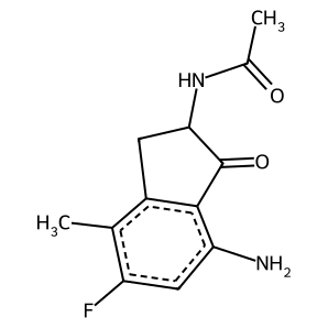 CC(=O)NC1Cc2c(C)c(F)cc(N)c2C1=O